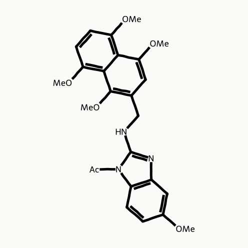 COc1ccc2c(c1)nc(NCc1cc(OC)c3c(OC)ccc(OC)c3c1OC)n2C(C)=O